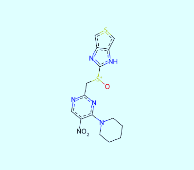 O=[N+]([O-])c1cnc(C[S+]([O-])c2nc3cscc3[nH]2)nc1N1CCCCC1